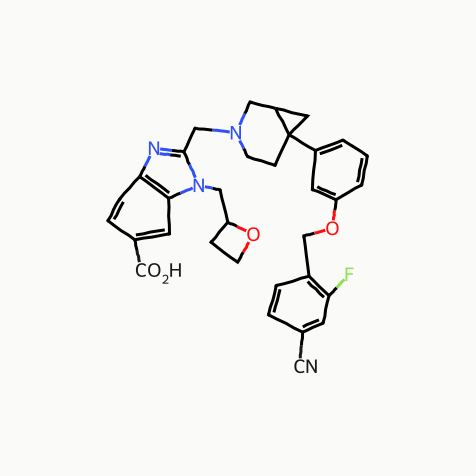 N#Cc1ccc(COc2cccc(C34CCN(Cc5nc6ccc(C(=O)O)cc6n5CC5CCO5)CC3C4)c2)c(F)c1